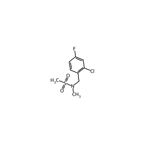 CN(Cc1ccc(F)cc1Cl)S(C)(=O)=O